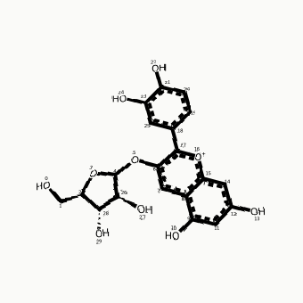 OC[C@H]1OC(Oc2cc3c(O)cc(O)cc3[o+]c2-c2ccc(O)c(O)c2)[C@@H](O)[C@@H]1O